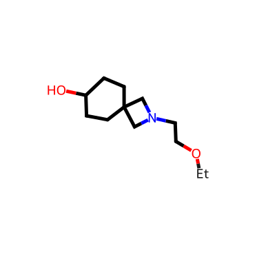 CCOCCN1CC2(CCC(O)CC2)C1